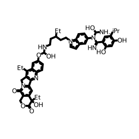 CCc1c2c(nc3ccc(OC(O)NCCC(CC)CCn4ccc5cc(N(C(=N)c6cc(C(C)C)c(O)cc6O)C(N)O)ccc54)cc13)-c1cc3c(c(=O)n1C2)COC(=O)C3(O)CC